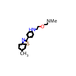 CNCCOCCNc1ccc(-c2nc3ccc(C)cc3s2)cc1